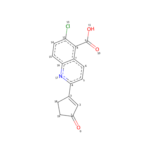 O=C1C=C(c2ccc3c(C(=O)O)c(Cl)ccc3n2)CC1